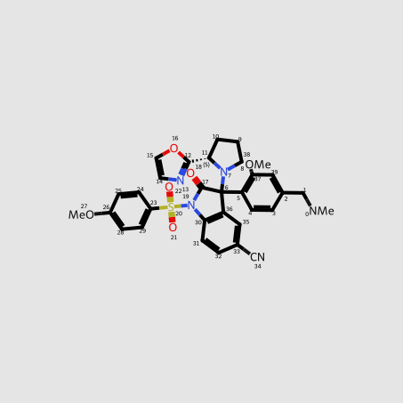 CNCc1ccc(C2(N3CCC[C@H]3c3ncco3)C(=O)N(S(=O)(=O)c3ccc(OC)cc3)c3ccc(C#N)cc32)c(OC)c1